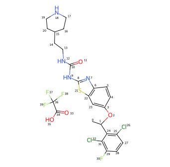 CC(Oc1ccc2nc(NC(=O)NCCC3CCNCC3)sc2c1)c1c(Cl)ccc(F)c1Cl.O=C(O)C(F)(F)F